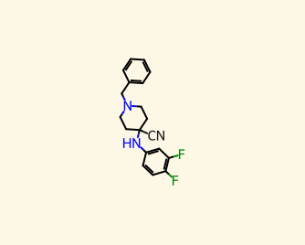 N#CC1(Nc2ccc(F)c(F)c2)CCN(Cc2ccccc2)CC1